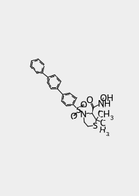 CC1(C)SCCN(S(=O)(=O)c2ccc(-c3ccc(-c4ccccc4)cc3)cc2)[C@H]1C(=O)NO